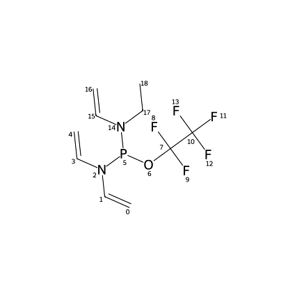 C=CN(C=C)P(OC(F)(F)C(F)(F)F)N(C=C)CC